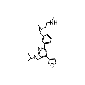 CNCCN(C)Cc1cccc(-c2cc(C3=CCOC3)c3c(n2)N(C(C)C)C3)c1